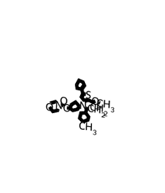 C=C(OC)c1sc(C2=CCCCC2)cc1N(C(=C)C1CCC(C)CC1)C1CCC(OC(=O)N2CCOCC2)CC1